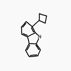 c1ccc2c(c1)[N]c1c-2cccc1C1CCC1